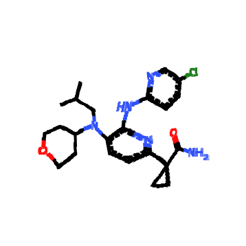 CC(C)CN(c1ccc(C2(C(N)=O)CC2)nc1Nc1ccc(Cl)cn1)C1CCOCC1